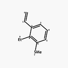 C=[C]c1cccc(SC)c1CC